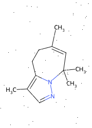 CC1=CC(C)(C)n2ncc(C)c2CC1